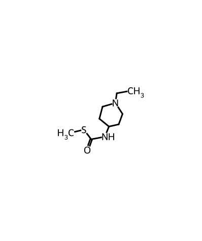 CCN1CCC(NC(=O)SC)CC1